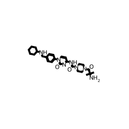 CC(C)(N)C(=O)N1CCN(C(=O)Nc2ccn(-c3ccc(CNC4CCCCC4)cc3)c(=O)n2)CC1